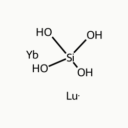 O[Si](O)(O)O.[Lu].[Yb]